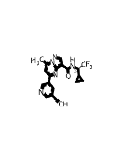 C#Cc1cncc(-c2cc(C)n3ncc(C(=O)N[C@@H](C4CC4)C(F)(F)F)c3n2)c1